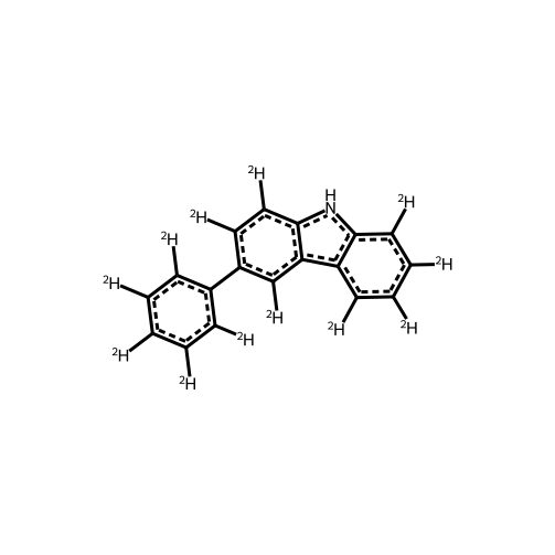 [2H]c1c([2H])c([2H])c(-c2c([2H])c([2H])c3[nH]c4c([2H])c([2H])c([2H])c([2H])c4c3c2[2H])c([2H])c1[2H]